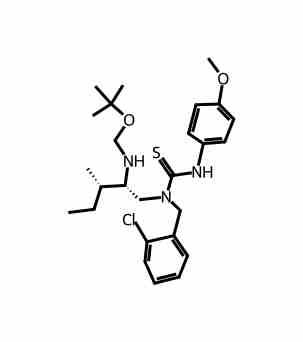 CC[C@H](C)[C@@H](CN(Cc1ccccc1Cl)C(=S)Nc1ccc(OC)cc1)NCOC(C)(C)C